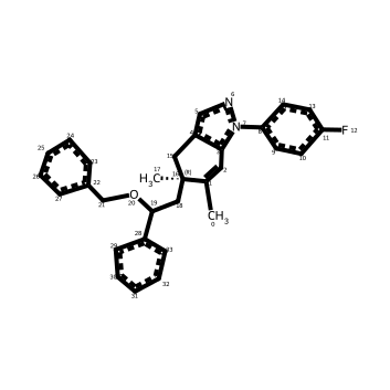 CC1=Cc2c(cnn2-c2ccc(F)cc2)C[C@]1(C)CC(OCc1ccccc1)c1ccccc1